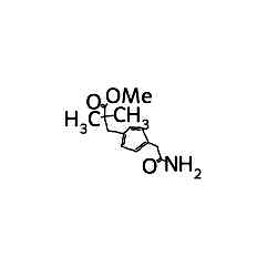 COC(=O)C(C)(C)Cc1ccc(CC(N)=O)cc1